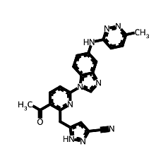 CC(=O)c1ccc(-n2cnc3cc(Nc4ccc(C)nn4)ccc32)nc1Cc1cc(C#N)n[nH]1